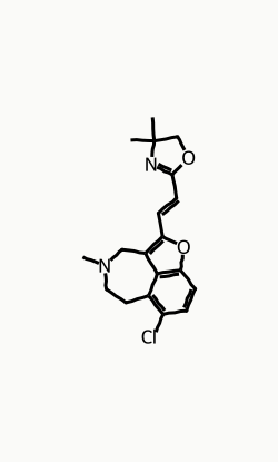 CN1CCc2c(Cl)ccc3oc(C=CC4=NC(C)(C)CO4)c(c23)C1